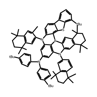 Cc1cc2c(cc1N1c3cc(N(c4ccc(C(C)(C)C)cc4)c4ccc(C(C)(C)C)cc4)cc4c3B(c3cc5c(cc3N4c3ccc4c(c3)C(C)(C)CCC4(C)C)C(C)(C)CCC5(C)C)c3c1ccc1c3sc3c(C(C)(C)C)cccc31)C(C)(C)CCC2(C)C